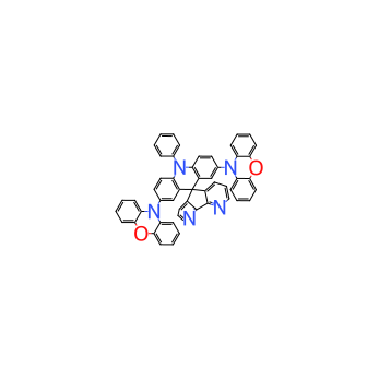 c1ccc(N2c3ccc(N4c5ccccc5Oc5ccccc54)cc3C3(c4cc(N5c6ccccc6Oc6ccccc65)ccc42)c2cccnc2-c2ncccc23)cc1